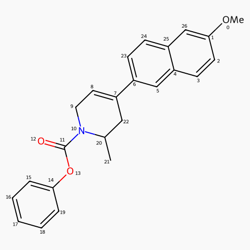 COc1ccc2cc(C3=CCN(C(=O)Oc4ccccc4)C(C)C3)ccc2c1